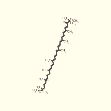 COC(C)(C)CCC/C(C)=C/CC/C(C)=C/C=C/C(C)=C/C=C/C=C(C)/C=C/C=C(C)/C=C/C=C(C)/C=C/C(=O)C(C)(C)OC